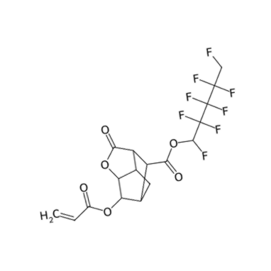 C=CC(=O)OC1C2CC3C1OC(=O)C3C2C(=O)OC(F)C(F)(F)C(F)(F)C(F)(F)CF